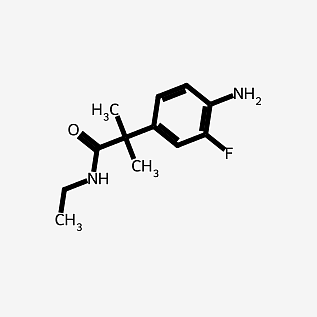 CCNC(=O)C(C)(C)c1ccc(N)c(F)c1